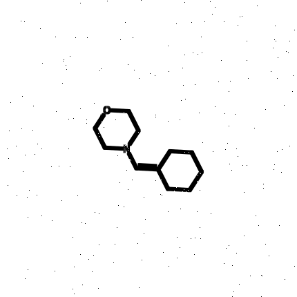 C(=C1CCCCC1)N1CCOCC1